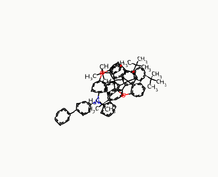 CC(C)(C)c1ccc2c(c1)C1(c3ccccc3Oc3ccc(N(c4ccc(-c5ccccc5)cc4)c4ccccc4-c4cccc5c4Oc4ccccc4C54c5cc(C(C)(C)C)ccc5-c5ccc(C(C)(C)C)cc54)cc31)c1cc(C(C)(C)C)ccc1-2